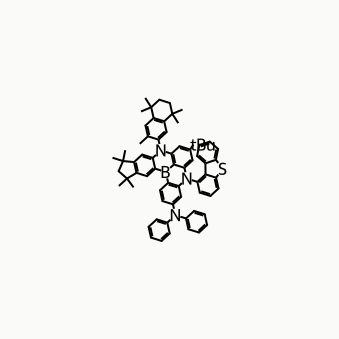 Cc1cc2c(cc1N1c3cc4c(cc3B3c5ccc(N(c6ccccc6)c6ccccc6)cc5N(c5cccc6sc7ccccc7c56)c5cc(C(C)(C)C)cc1c53)C(C)(C)CC4(C)C)C(C)(C)CCC2(C)C